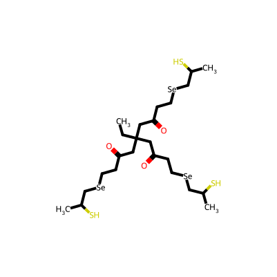 CCC(CC(=O)CC[Se]CC(C)S)(CC(=O)CC[Se]CC(C)S)CC(=O)CC[Se]CC(C)S